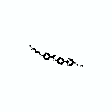 CCCCCCCCOc1cnc(-c2ccc(OC(=O)c3ccc(OCCCOCC)cc3)cc2)nc1